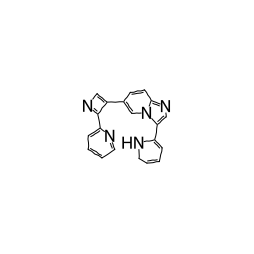 C1=CCNC(c2cnc3ccc(C4=CN=C4c4ccccn4)cn23)=C1